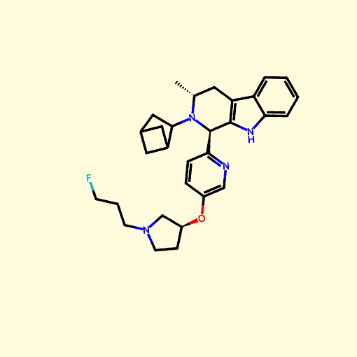 C[C@@H]1Cc2c([nH]c3ccccc23)[C@@H](c2ccc(O[C@H]3CCN(CCCF)C3)cn2)N1C1CC2CC1C2